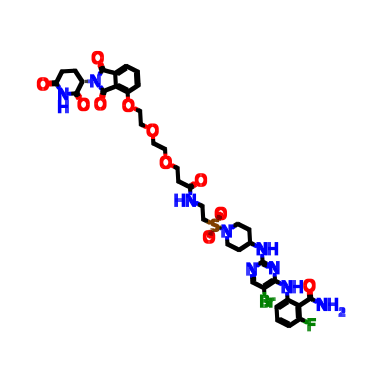 NC(=O)c1c(F)cccc1Nc1nc(NC2CCN(S(=O)(=O)CCNC(=O)CCOCCOCCOc3cccc4c3C(=O)N([C@H]3CCC(=O)NC3=O)C4=O)CC2)ncc1Br